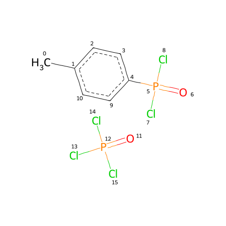 Cc1ccc(P(=O)(Cl)Cl)cc1.O=P(Cl)(Cl)Cl